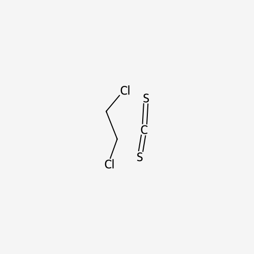 ClCCCl.S=C=S